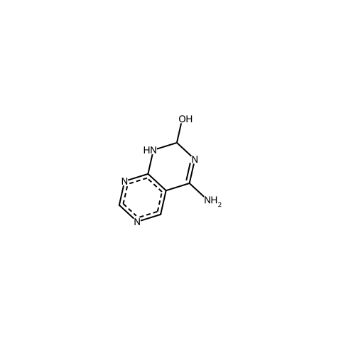 NC1=NC(O)Nc2ncncc21